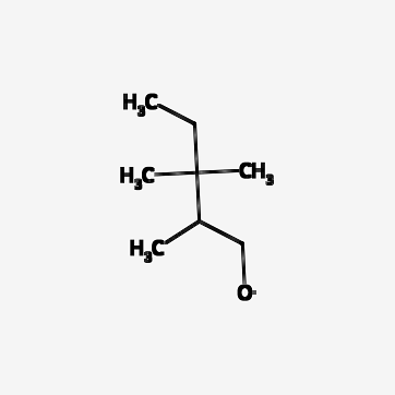 CCC(C)(C)C(C)C[O]